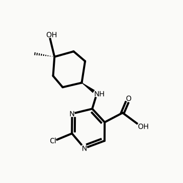 C[C@]1(O)CC[C@@H](Nc2nc(Cl)ncc2C(=O)O)CC1